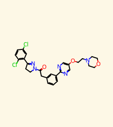 O=C(Cc1cccc(-c2ncc(OCCN3CCOCC3)cn2)c1)N1CCC(c2cc(Cl)ccc2Cl)=N1